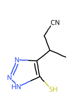 CC(CC#N)c1nn[nH]c1S